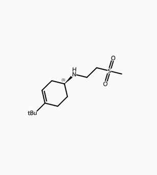 CC(C)(C)C1=CC[C@@H](NCCS(C)(=O)=O)CC1